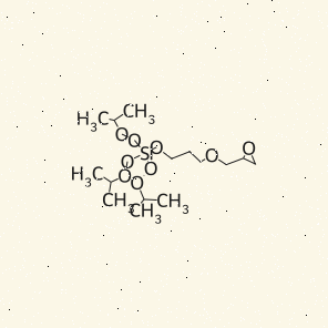 CC(C)OO[Si](OCCCOCC1CO1)(OOC(C)C)OOC(C)C